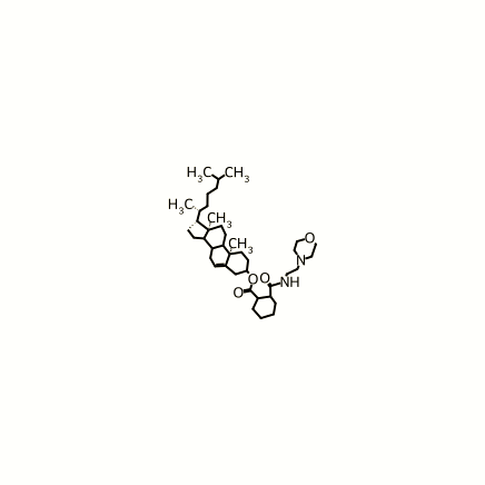 CC(C)CCC[C@@H](C)[C@H]1CCC2C3CC=C4CC(OC(=O)C5CCCCC5C(=O)NCCN5CCOCC5)CC[C@]4(C)C3CC[C@@]21C